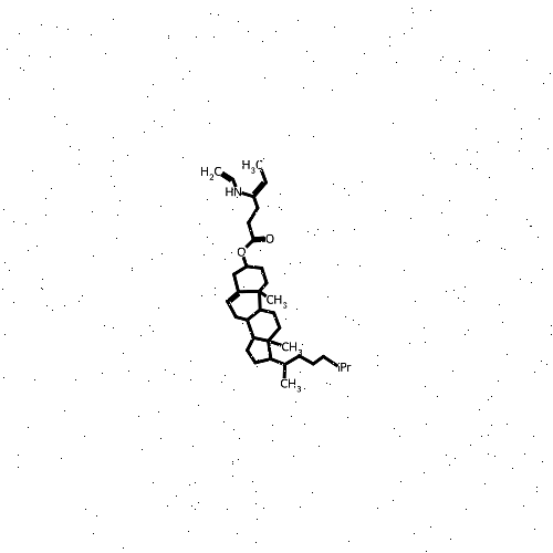 C=CN/C(=C\C)CCC(=O)OC1CCC2(C)C(=CCC3C2CCC2(C)C(C(C)CCCC(C)C)CCC32)C1